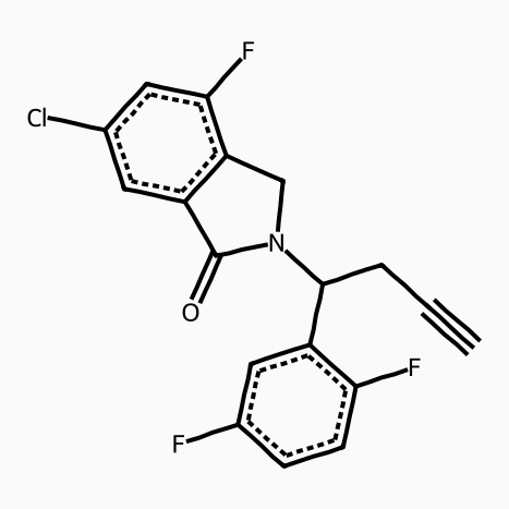 C#CCC(c1cc(F)ccc1F)N1Cc2c(F)cc(Cl)cc2C1=O